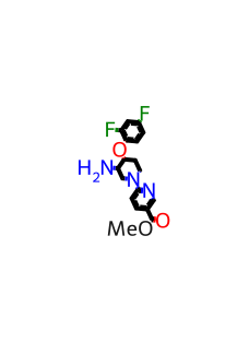 COC(=O)c1ccc(N2CCC(Oc3ccc(F)cc3F)C(N)C2)nc1